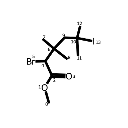 COC(=O)C(Br)C(C)(C)CC(C)(C)I